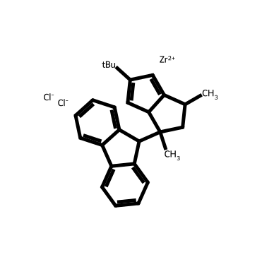 CC1CC(C)(C2c3ccccc3-c3ccccc32)C2C=C(C(C)(C)C)C=C12.[Cl-].[Cl-].[Zr+2]